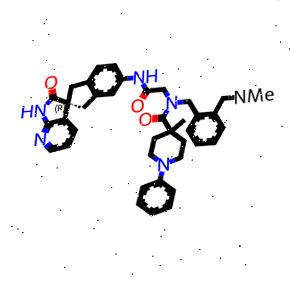 CNCc1ccccc1CN(CC(=O)Nc1ccc2c(c1)C[C@@]1(C2)C(=O)Nc2ncccc21)C(=O)C1(C)CCN(c2ccccc2)CC1